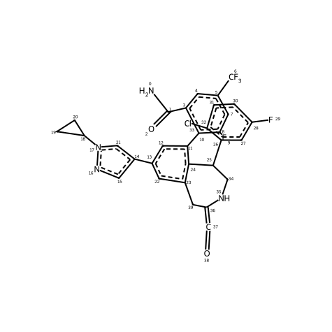 NC(=O)c1cc(C(F)(F)F)cc(F)c1-c1cc(-c2cnn(C3CC3)c2)cc2c1C(c1cc(F)ccc1Cl)CNC(=C=O)C2